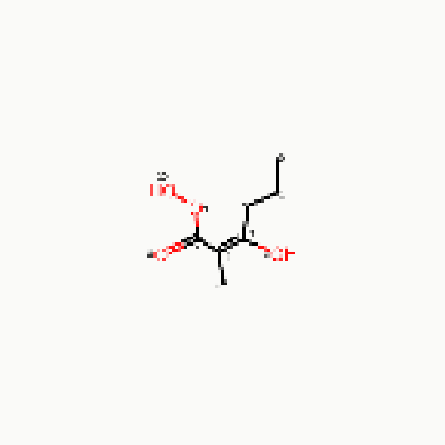 CCCC(O)=C(C)C(=O)OO